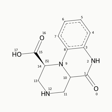 O=C1Nc2ccccc2N2C1CNC[C@H]2C(=O)O